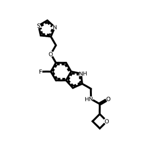 O=C(NCc1cc2cc(F)c(OCc3cscn3)cc2[nH]1)C1CCO1